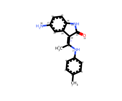 C/C(Nc1ccc(C)cc1)=C1/C(=O)Nc2ccc(N)cc21